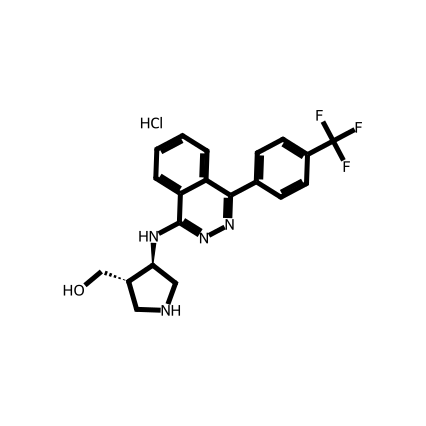 Cl.OC[C@H]1CNC[C@@H]1Nc1nnc(-c2ccc(C(F)(F)F)cc2)c2ccccc12